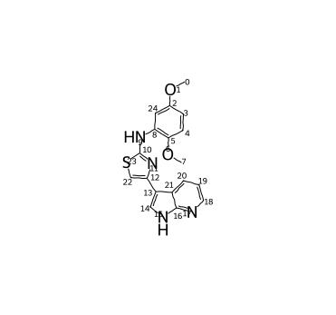 COc1ccc(OC)c(Nc2nc(-c3c[nH]c4ncccc34)cs2)c1